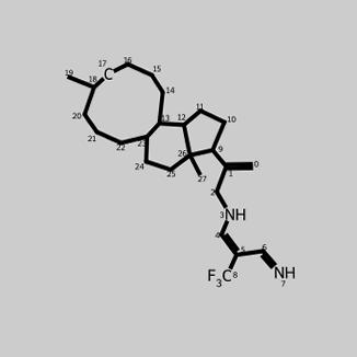 C=C(CN/C=C(\C=N)C(F)(F)F)C1CCC2C3CCCCC(C)CCCC3CCC12C